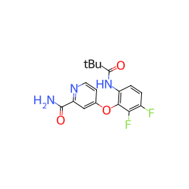 CC(C)(C)C(=O)Nc1ccc(F)c(F)c1Oc1ccnc(C(N)=O)c1